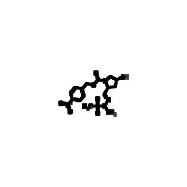 CN(N=C[C@@H]1C[C@H](S)CN1C(=O)OCc1ccc([N+](=O)[O-])cc1)S(C)(=O)=O